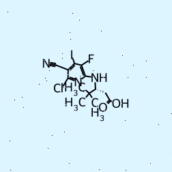 CC(C)(C)[C@@H](CC(=O)O)Nc1nc(Cl)c(C#N)c(I)c1F